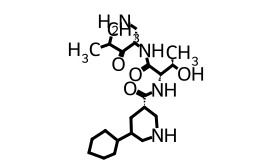 CC(C)C(=O)[C@H](CN)NC(=O)[C@@H](NC(=O)[C@@H]1CNCC(C2CCCCC2)C1)[C@H](C)O